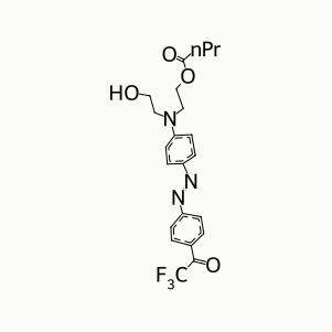 CCCC(=O)OCCN(CCO)c1ccc(N=Nc2ccc(C(=O)C(F)(F)F)cc2)cc1